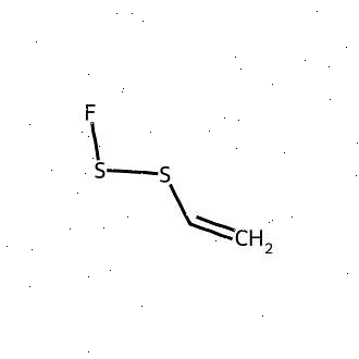 C=CSSF